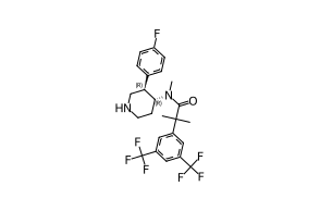 CN(C(=O)C(C)(C)c1cc(C(F)(F)F)cc(C(F)(F)F)c1)[C@@H]1CCNC[C@H]1c1ccc(F)cc1